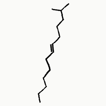 CCCCCCC=CCCC[C](C)C